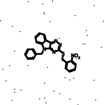 O=[N+]([O-])c1ccccc1CSc1nnc2c3ccccc3n(Cc3ccccc3)c2n1